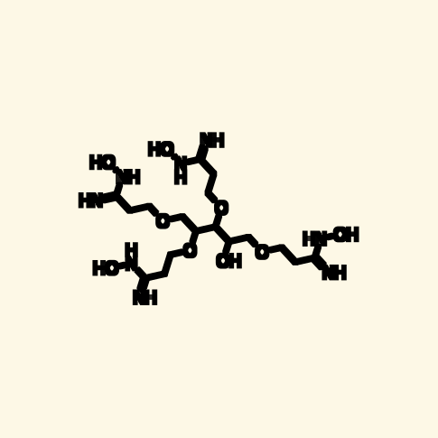 N=C(CCOCC(O)C(OCCC(=N)NO)C(COCCC(=N)NO)OCCC(=N)NO)NO